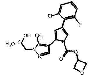 C[C@H](O)Cn1ncc(-c2cc(-c3c(F)cccc3Cl)cn2C(=O)OC2COC2)c1C(F)(F)F